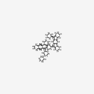 c1ccc(-c2ccc3c4cc(-n5c6ccccc6c6cc7c8ccccc8n(-c8ccccc8)c7cc65)ccc4n(-c4nc5ccccc5nc4-c4ccccc4)c3c2)cc1